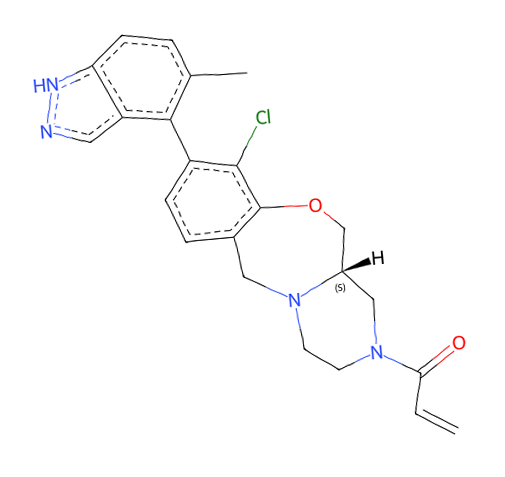 C=CC(=O)N1CCN2Cc3ccc(-c4c(C)ccc5[nH]ncc45)c(Cl)c3OC[C@@H]2C1